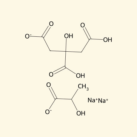 CC(O)C(=O)[O-].O=C([O-])CC(O)(CC(=O)O)C(=O)O.[Na+].[Na+]